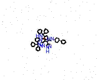 C(/CN[C@H]1CC[C@H](c2ccccc2)CC1)=C(/c1cn[nH]c1)c1cc(NC(c2ccccc2)(c2ccccc2)c2ccccc2)nc2c1nnn2C(c1ccccc1)(c1ccccc1)c1ccccc1